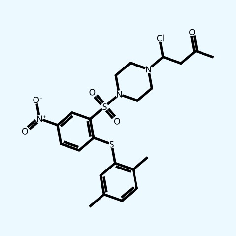 CC(=O)CC(Cl)N1CCN(S(=O)(=O)c2cc([N+](=O)[O-])ccc2Sc2cc(C)ccc2C)CC1